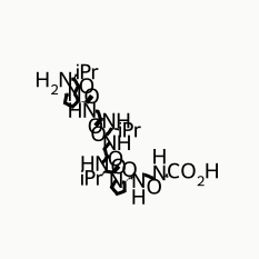 CC(C)[C@H](N)C(=O)N1CCC[C@H]1C(=O)NCC(=O)N[C@H](C(=O)NCC(=O)N[C@H](C(=O)N1CCC[C@H]1C(=O)NCC(=O)NCC(=O)O)C(C)C)C(C)C